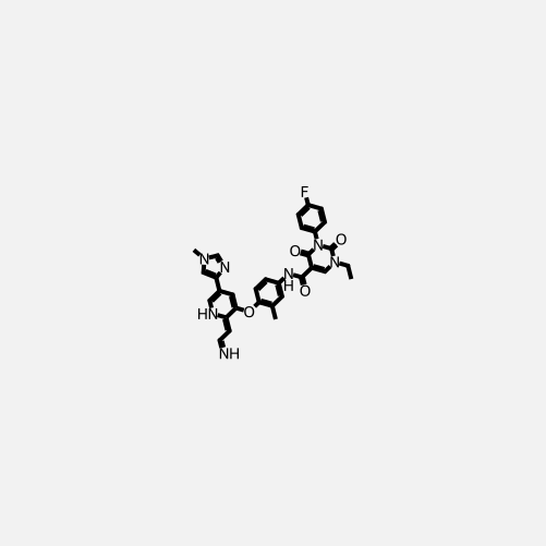 CCn1cc(C(=O)Nc2ccc(OC3=CC(c4cn(C)cn4)=CN/C3=C\C=N)c(C)c2)c(=O)n(-c2ccc(F)cc2)c1=O